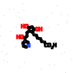 O=C(O)CCCCCC[C@H]1C(O)C[C@@H](O)C1CCC(O)c1cccnc1